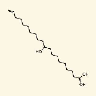 C=CCCCCCCCCC(O)CCCCCCCCC(O)O